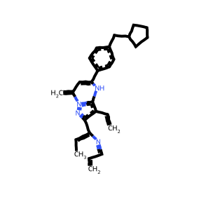 C=C/C=N\C(=C/C)c1nn2c(c1C=C)NC(c1ccc(CC3CCCC3)cc1)=CC2=C